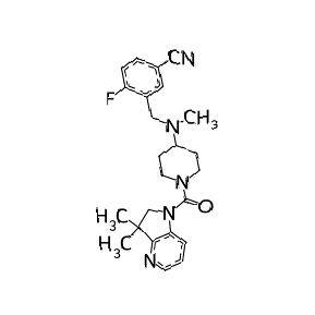 CN(Cc1cc(C#N)ccc1F)C1CCN(C(=O)N2CC(C)(C)c3ncccc32)CC1